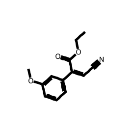 CCOC(=O)C(=CC#N)c1cccc(OC)c1